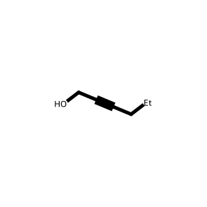 CCCC#CCO